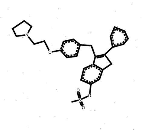 CS(=O)(=O)Oc1ccc2c(c1)CC(c1ccccc1)=C2Cc1ccc(OCCN2CCCC2)cc1